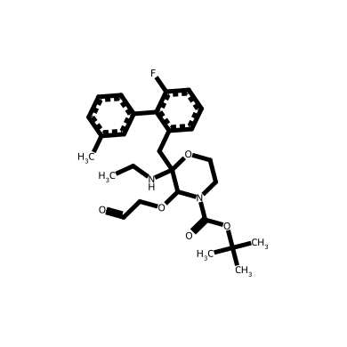 CCNC1(Cc2cccc(F)c2-c2cccc(C)c2)OCCN(C(=O)OC(C)(C)C)C1OCC=O